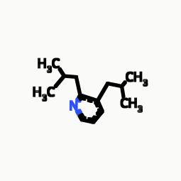 CC(C)Cc1cccnc1CC(C)C